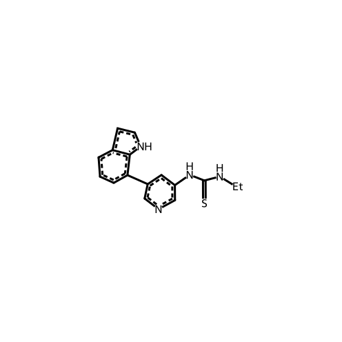 CCNC(=S)Nc1cncc(-c2cccc3cc[nH]c23)c1